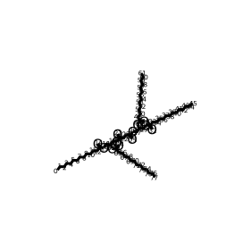 CCCCCCCCCCCCCC(=O)OCC(COC(=O)CCC(=O)OCC(COC(=O)CCCCCCCCCCCCC)OC(=O)CCCCCCCCCCCCC)OC(=O)CCCCCCCCCCCCC